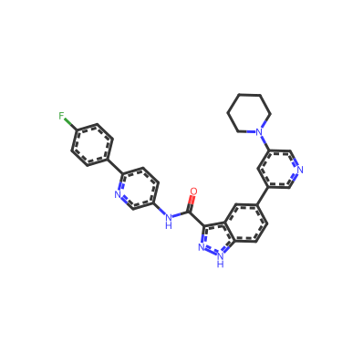 O=C(Nc1ccc(-c2ccc(F)cc2)nc1)c1n[nH]c2ccc(-c3cncc(N4CCCCC4)c3)cc12